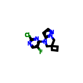 Fc1cnc(Cl)nc1N1CC2(CCC2)Cn2nccc21